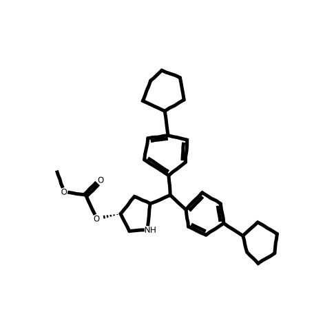 COC(=O)O[C@H]1CNC(C(c2ccc(C3CCCCC3)cc2)c2ccc(C3CCCCC3)cc2)C1